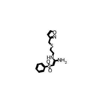 N/C(=C/S(=O)(=O)c1ccccc1)NCCSCc1ccon1